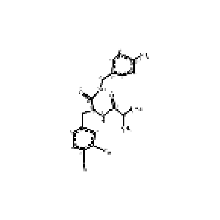 CNC(C)C(=O)N[C@@H](Cc1ccc(F)c(F)c1)C(=O)NCc1ccc(N)nc1